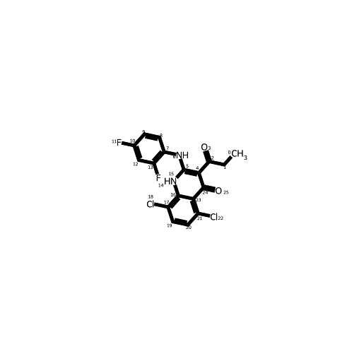 CCC(=O)c1c(Nc2ccc(F)cc2F)[nH]c2c(Cl)ccc(Cl)c2c1=O